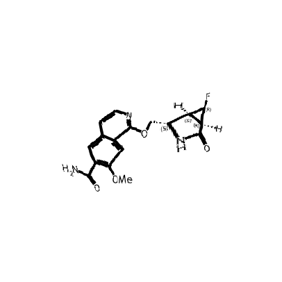 COc1cc2c(OC[C@H]3NC(=O)[C@@H]4[C@H](F)[C@@H]43)nccc2cc1C(N)=O